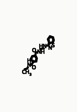 CCCNC(=O)c1ccc(C(=O)NCCNc2nsc3ccccc23)cc1